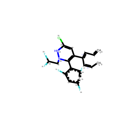 C=C/C=C(\C=C/C)C1=C(c2c(F)cc(F)cc2F)N(CC(F)F)NC(Cl)=C1